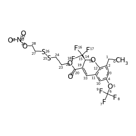 CCc1cc(OC(F)(F)F)cc2c1O[C@H](C(F)(F)F)C(C(=O)OCCSSCCO[N+](=O)[O-])=C2